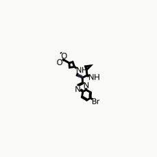 COC(=O)C1CC(N/C=C(\C(=N)C2CC2)c2cnc3ccc(Br)cc3n2)C1